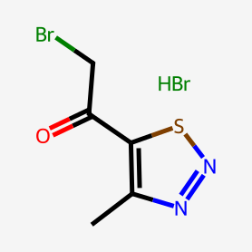 Br.Cc1nnsc1C(=O)CBr